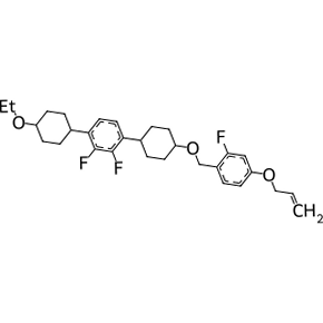 C=CCOc1ccc(COC2CCC(c3ccc(C4CCC(OCC)CC4)c(F)c3F)CC2)c(F)c1